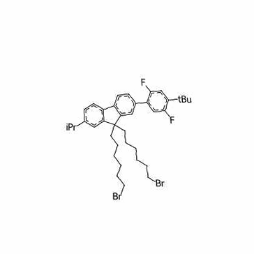 CC(C)c1ccc2c(c1)C(CCCCCCBr)(CCCCCCBr)c1cc(-c3cc(F)c(C(C)(C)C)cc3F)ccc1-2